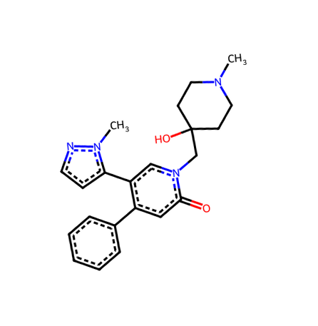 CN1CCC(O)(Cn2cc(-c3ccnn3C)c(-c3ccccc3)cc2=O)CC1